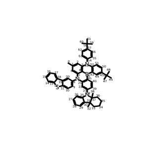 Cc1cc2c3c(c1)N(c1ccc4sc5ccccc5c4c1)c1cc(N4c5ccccc5C5(C)CCCCC45C)ccc1B3c1cc(C(C)(C)C)ccc1N2c1ccc(C(C)(C)C)cc1